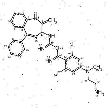 C=C1Nc2ccccc2C(c2ccccc2)=NC1NC(=N)OC(=N)c1c(F)cc(N(C)CCN)cc1F